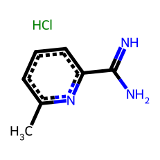 Cc1cccc(C(=N)N)n1.Cl